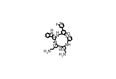 CN1C(=O)C(CCCCN)NC(=O)C(CCCN)NCc2cccnc2Sc2c(Cl)cc(-c3ccnc(F)c3)cc2CNC(=O)C1Cc1c[nH]c2ccccc12